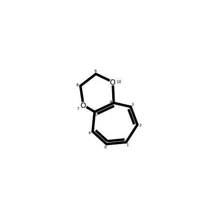 C1=CC=CC2=C(C=1)OCCO2